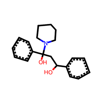 OC(CC(O)(c1ccccc1)N1CCCCC1)c1ccccc1